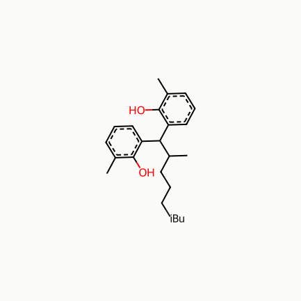 CCC(C)CCCC(C)C(c1cccc(C)c1O)c1cccc(C)c1O